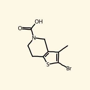 Cc1c(Br)sc2c1CN(C(=O)O)CC2